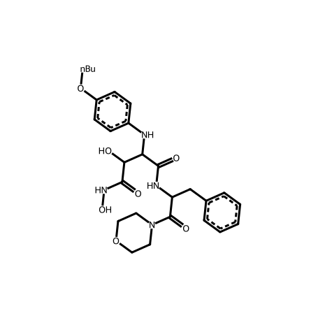 CCCCOc1ccc(NC(C(=O)NC(Cc2ccccc2)C(=O)N2CCOCC2)C(O)C(=O)NO)cc1